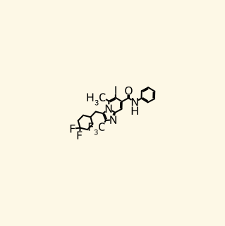 Cc1c(I)c(C(=O)Nc2ccccc2)cc2nc(C(F)(F)F)c(CC3CCC(F)(F)CC3)n12